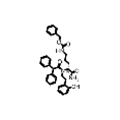 NC(=O)[C@@H](CCCNC(=O)OCc1ccccc1)N(CCc1ccccc1O)C(=O)C(c1ccccc1)c1ccccc1